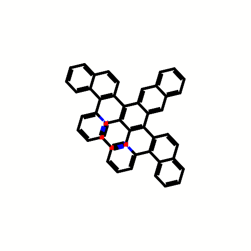 c1ccc(-c2c(-c3c4ccccc4c(-c4ccc5ccccc5c4-c4ccccn4)c4cc5ccccc5cc34)ccc3ccccc23)nc1